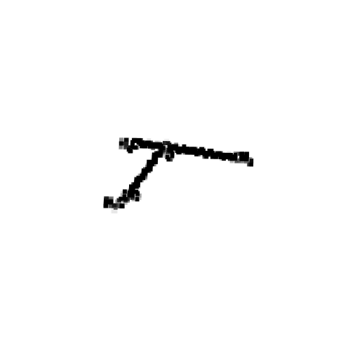 CCCCCCCCCCCCCCCC(=O)OC(CCCCCC)CCCCCCCCCCC(=O)OCC